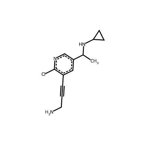 CC(NC1CC1)c1cnc(Cl)c(C#CCN)c1